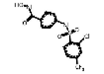 O=C(NO)c1ccc(NS(=O)(=O)c2ccc(C(F)(F)F)cc2Cl)cc1